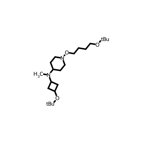 CN(C1CCN(OCCCCOC(C)(C)C)CC1)C1CC(OC(C)(C)C)C1